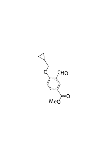 COC(=O)c1ccc(OCC2CC2)c(C=O)c1